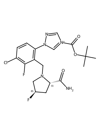 CC(C)(C)OC(=O)[n+]1cnn(-c2ccc(Cl)c(F)c2CN2C[C@H](F)C[C@H]2C(N)=O)c1